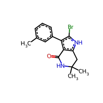 Cc1cccc(-c2c(Br)[nH]c3c2C(=O)NC(C)(C)C3)c1